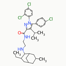 CCC1CC2CC(C)CC(C2)C1NCCNC(=O)c1nn(-c2ccc(Cl)cc2Cl)c(-c2ccc(Cl)cc2)c1C(C)C